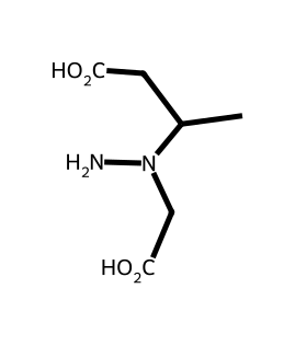 CC(CC(=O)O)N(N)CC(=O)O